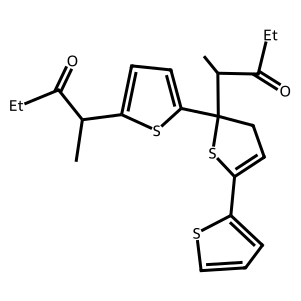 CCC(=O)C(C)c1ccc(C2(C(C)C(=O)CC)CC=C(c3cccs3)S2)s1